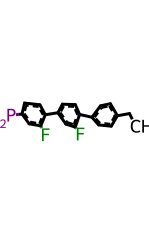 CCc1ccc(-c2ccc(-c3ccc(P)cc3F)cc2F)cc1